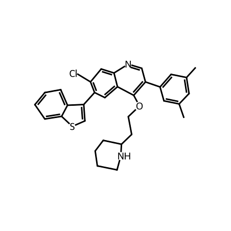 Cc1cc(C)cc(-c2cnc3cc(Cl)c(-c4csc5ccccc45)cc3c2OCCC2CCCCN2)c1